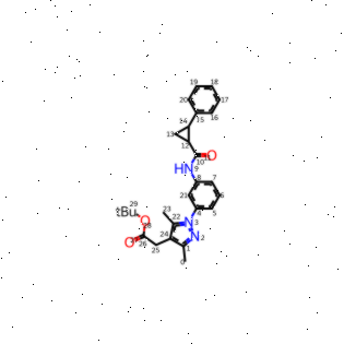 Cc1nn(-c2cccc(NC(=O)C3CC3c3ccccc3)c2)c(C)c1CC(=O)OC(C)(C)C